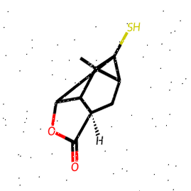 CC12C3C4OC(=O)[C@@H]3CC1C42S